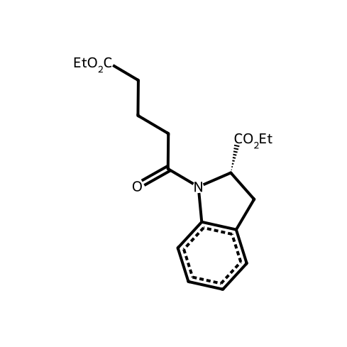 CCOC(=O)CCCC(=O)N1c2ccccc2C[C@H]1C(=O)OCC